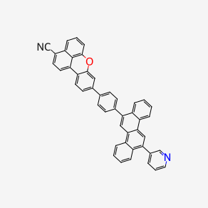 N#Cc1ccc2c3c(cccc13)Oc1cc(-c3ccc(-c4cc5c6ccccc6c(-c6cccnc6)cc5c5ccccc45)cc3)ccc1-2